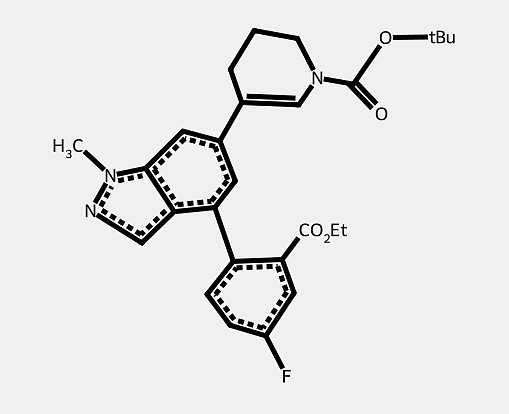 CCOC(=O)c1cc(F)ccc1-c1cc(C2=CN(C(=O)OC(C)(C)C)CCC2)cc2c1cnn2C